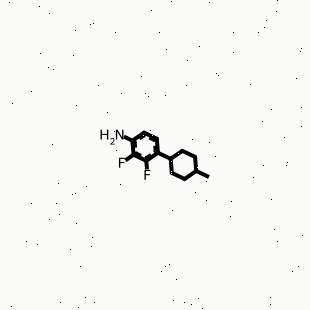 CC1CCC(c2ccc(N)c(F)c2F)CC1